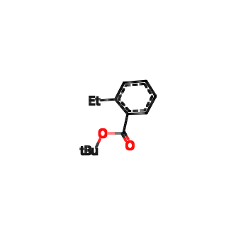 CCc1ccccc1C(=O)OC(C)(C)C